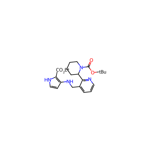 CCOC(=O)c1[nH]ccc1NCc1cccnc1C1CCCCN1C(=O)OC(C)(C)C